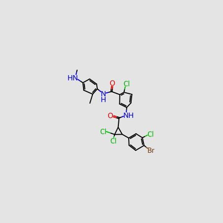 CNc1ccc(NC(=O)c2cc(NC(=O)C3C(c4ccc(Br)c(Cl)c4)C3(Cl)Cl)ccc2Cl)c(C)c1